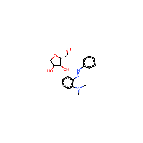 CN(C)c1ccccc1N=Nc1ccccc1.OC[C@H]1OC[C@H](O)[C@@H]1O